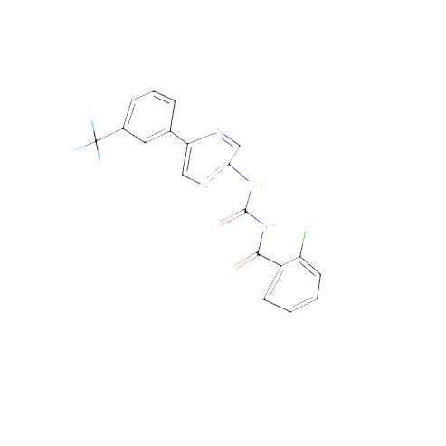 O=C(NC(=O)c1ccccc1Cl)Nc1cnc(-c2cccc(C(F)(F)F)c2)cn1